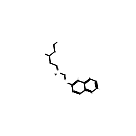 CCOC(=O)CCC(C)CC[PH](=O)CSc1ccc2ccccc2c1